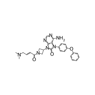 CN(C)CC=CC(=O)N1CC(n2c(=O)n(-c3ccc(Oc4ccccc4)cc3)c3c(N)ncnc32)C1